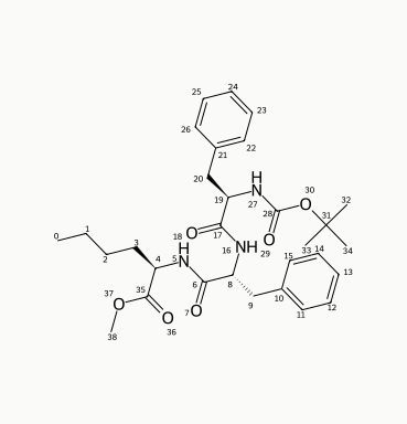 CCCC[C@@H](NC(=O)[C@@H](Cc1ccccc1)NC(=O)[C@@H](Cc1ccccc1)NC(=O)OC(C)(C)C)C(=O)OC